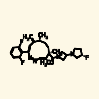 C=C1\C=C(c2c(F)cccc2F)/N=N\C=C(/C)[C@](C)(C(=O)N2CC(N3CC[C@H](F)C3)C2)CC[C@@H]1C